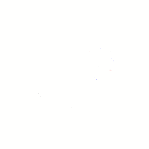 CCOCCC1(Oc2ccc(Oc3ccc(CNC(C)=O)cc3)cn2)C(=O)NC(=O)NC1=O